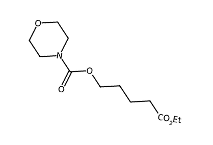 CCOC(=O)CCCCOC(=O)N1CCOCC1